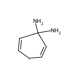 NC1(N)C=C[CH]C=C1